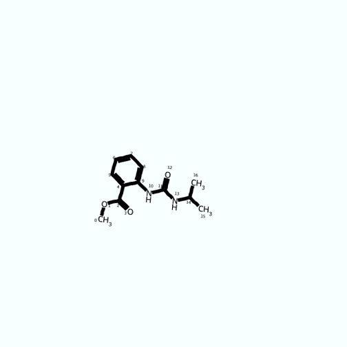 COC(=O)c1ccccc1NC(=O)NC(C)C